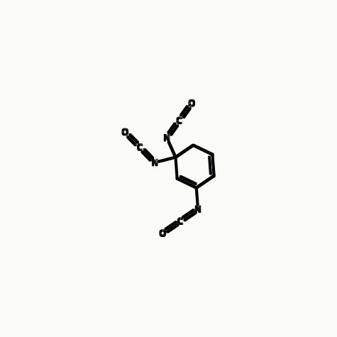 O=C=NC1=CC(N=C=O)(N=C=O)CC=C1